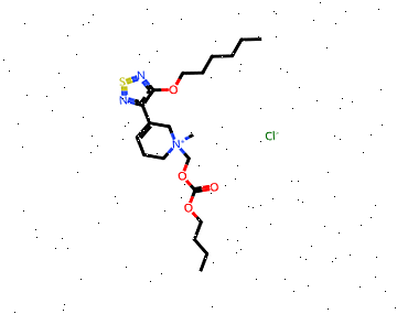 CCCCCCOc1nsnc1C1=CCC[N+](C)(COC(=O)OCCCC)C1.[Cl-]